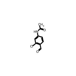 CC(=O)Nc1ccc(C=O)c(Cl)c1